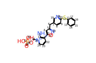 Nc1c(-c2cc(Cc3ccc(Sc4ccccc4)nc3)no2)ccc[n+]1COP(=O)(O)O